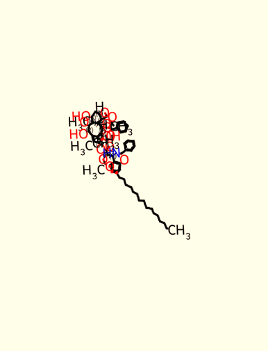 CCCCCCCCCCCCCCCCCCOC(C)O[C@@H](C(=O)O[C@H]1C[C@@]2(O)[C@@H](OC(=O)c3ccccc3)[C@@H]3[C@]4(OC(C)=O)CO[C@@H]4C[C@H](O)[C@@]3(C)C(=O)[C@H](O)C(=C1C)C2(C)C)[C@@H](NC(=O)c1ccccc1)c1ccccc1